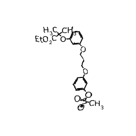 CCOC(=O)C(C)(C)Oc1cccc(OCCCOc2cccc(OS(C)(=O)=O)c2)c1